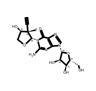 C#C[C@@]1(F)[C@H](O)CO[C@H]1n1c(N)nc2c(ncn2[C@@H]2O[C@H](CO)[C@@H](O)[C@H]2O)c1=O